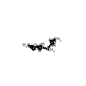 COc1ccc2c(c1)CCCN2C(=O)c1nc2c(s1)C(=O)C=C(NCCCN(C)CCCNC1=CC(=O)c3sc(C)nc3C1=O)C2=O